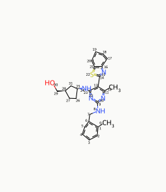 Cc1ccccc1CNc1nc(C)c(-c2nc3ccccc3s2)c(N[C@H]2CC[C@@H](CO)C2)n1